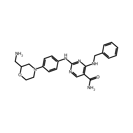 NCC1CN(c2ccc(Nc3ncc(C(N)=O)c(NCc4ccccc4)n3)cc2)CCO1